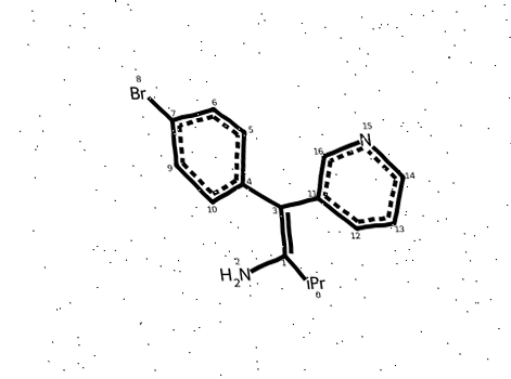 CC(C)C(N)=C(c1ccc(Br)cc1)c1cccnc1